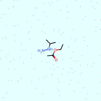 CC(C)NN.CCOC(C)=O